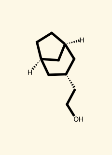 OCC[C@@H]1C[C@H]2CC[C@@H](C1)C2